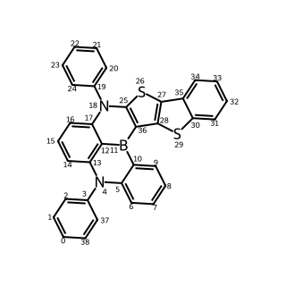 c1ccc(N2c3ccccc3B3c4c2cccc4N(c2ccccc2)c2sc4c(sc5ccccc54)c23)cc1